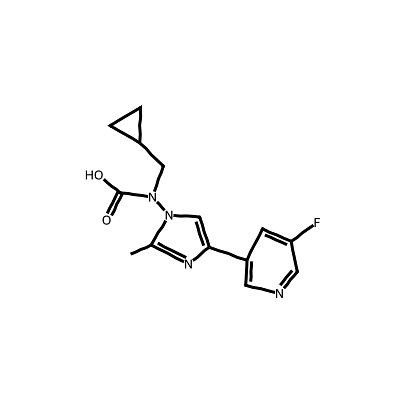 Cc1nc(-c2cncc(F)c2)cn1N(CC1CC1)C(=O)O